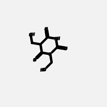 O=C1NC(=O)N(CO)C(=O)C1CO